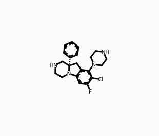 Fc1cc2c(c(N3CCNCC3)c1Cl)C[C@]1(c3ccccc3)CNCCN21